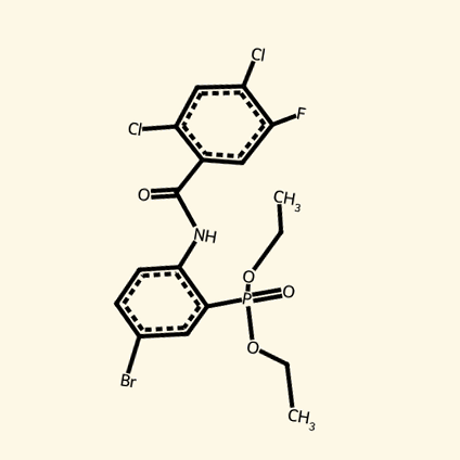 CCOP(=O)(OCC)c1cc(Br)ccc1NC(=O)c1cc(F)c(Cl)cc1Cl